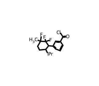 CC(C)C1CCC(C)(F)C(F)(F)C1c1cccc(C(=O)Cl)c1